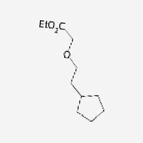 CCOC(=O)COCCC1CCCC1